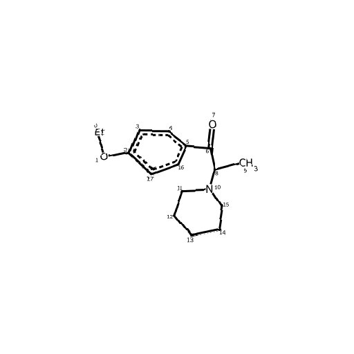 CCOc1ccc(C(=O)C(C)N2CCCCC2)cc1